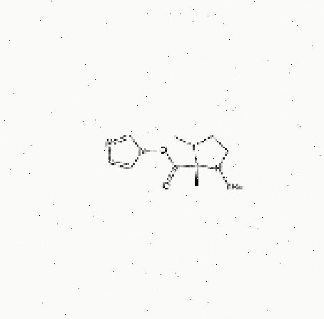 CCCCN1CCC(C)[C@@]1(C)C(=O)On1ccnc1